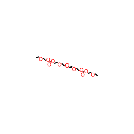 CCOCCOC(=O)OCCOCCOCCOCCOC(=O)OCCOCC